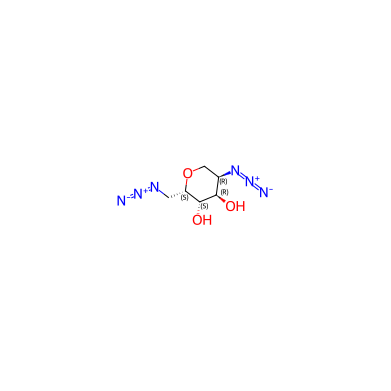 [N-]=[N+]=NC[C@@H]1OC[C@@H](N=[N+]=[N-])[C@@H](O)[C@@H]1O